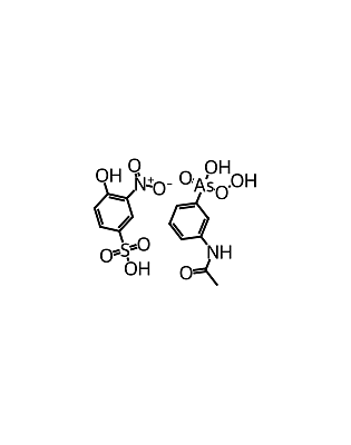 CC(=O)Nc1cccc([As](=O)(O)OO)c1.O=[N+]([O-])c1cc(S(=O)(=O)O)ccc1O